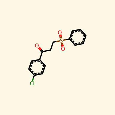 O=C(CCS(=O)(=O)c1ccccc1)c1ccc(Cl)cc1